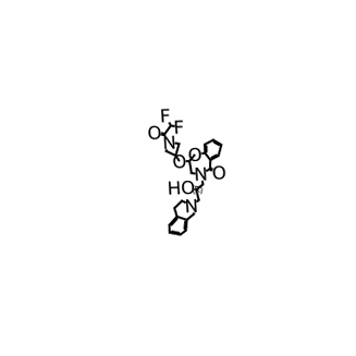 O=C1c2ccccc2OC(OC2CN(C(=O)C(F)F)C2)CN1C[C@H](O)CN1CCc2ccccc2C1